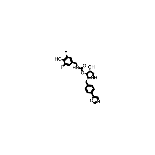 O=C(NCc1cc(F)c(O)c(F)c1)O[C@@H]1[C@@H](O)CN[C@@H]1Cc1ccc(-c2cnco2)cc1